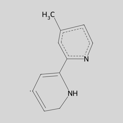 Cc1ccnc(C2=C[C]=CCN2)c1